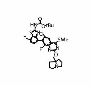 CSc1nc(OCC23CCCN2CCC3)nc2c(F)c(-c3ccc(F)c4sc(NC(=O)OC(C)(C)C)nc34)c(Cl)cc12